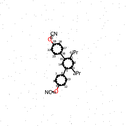 CC(C)c1cc(C(C)C)c(-c2ccc(OC#N)cc2)cc1-c1ccc(OC#N)cc1